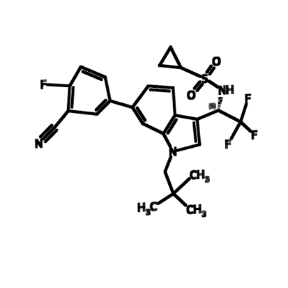 CC(C)(C)Cn1cc([C@H](NS(=O)(=O)C2CC2)C(F)(F)F)c2ccc(-c3ccc(F)c(C#N)c3)cc21